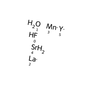 F.O.[La].[Mn].[SrH2].[Y]